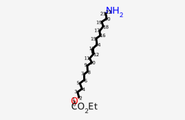 CCOC(=O)OCCCCCCCCCCC=CCCCCCCCCN